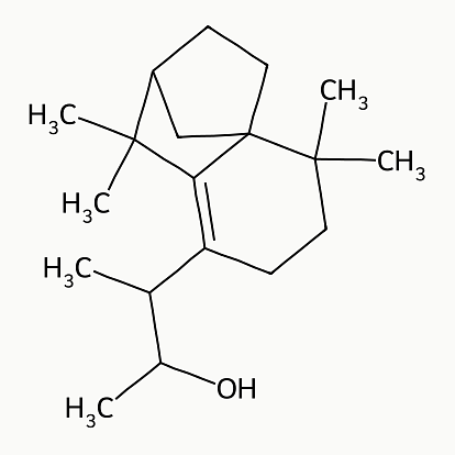 CC(O)C(C)C1=C2C(C)(C)C3CCC2(C3)C(C)(C)CC1